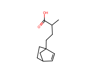 CC(CCC12C=CC(CC1)C2)C(=O)O